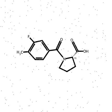 Cc1ccc(C(=O)N2CCC[C@H]2C(=O)O)cc1F